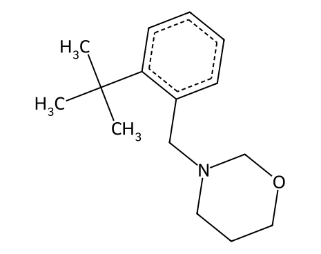 CC(C)(C)c1ccccc1CN1CCCOC1